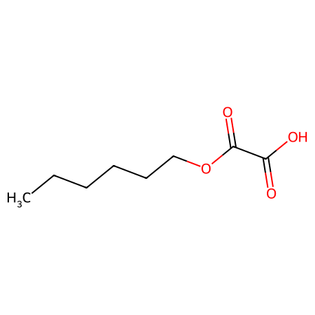 CCCCCCOC(=O)C(=O)O